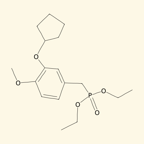 CCOP(=O)(Cc1ccc(OC)c(OC2CCCC2)c1)OCC